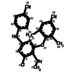 CBc1c(Cl)nc(Nc2ccc(C#N)cc2)nc1Oc1c(C)cc(C#N)cc1C